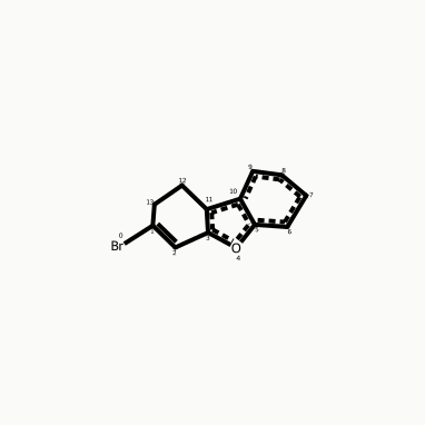 BrC1=Cc2oc3ccccc3c2CC1